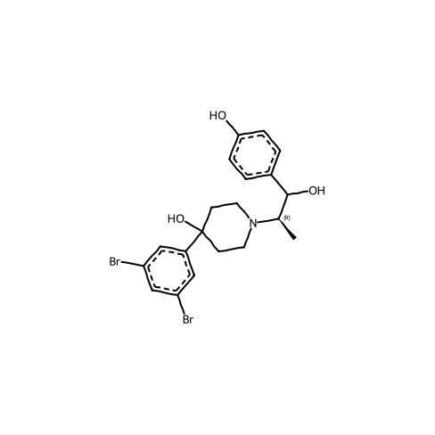 C[C@H](C(O)c1ccc(O)cc1)N1CCC(O)(c2cc(Br)cc(Br)c2)CC1